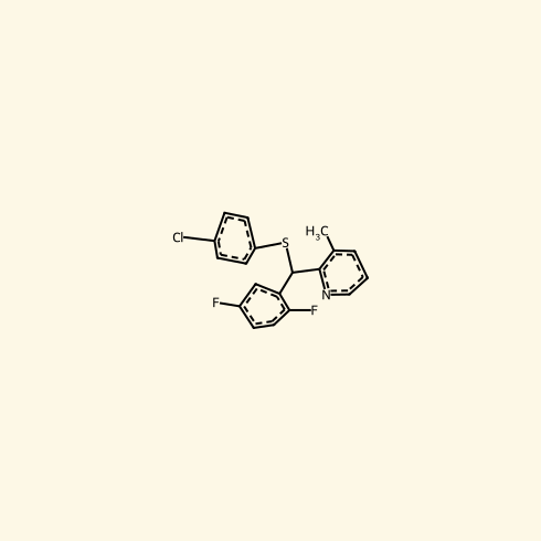 Cc1cccnc1C(Sc1ccc(Cl)cc1)c1cc(F)ccc1F